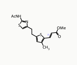 COC(=O)/C=C/c1sc(CCc2csc(NC(C)=O)n2)cc1C